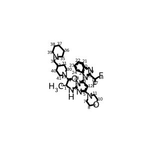 C[C@H](Nc1nc(N2CCOCC2)cc(-n2c(C(F)F)nc3ccccc32)n1)C(=O)N1CCC(CN2CCCCC2)CC1